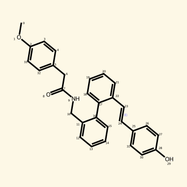 COc1ccc(CC(=O)NCc2ccccc2-c2ccccc2/C=C/c2ccc(O)cc2)cc1